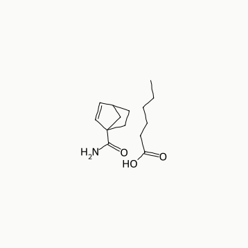 CCCCCC(=O)O.NC(=O)C12C=CC(CC1)C2